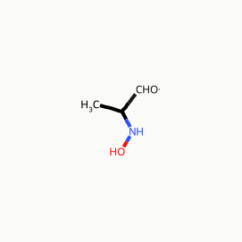 CC([C]=O)NO